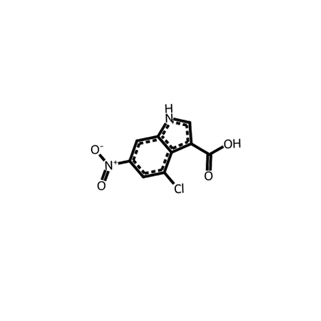 O=C(O)c1c[nH]c2cc([N+](=O)[O-])cc(Cl)c12